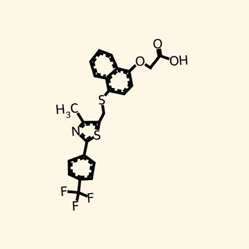 Cc1nc(-c2ccc(C(F)(F)F)cc2)sc1CSc1ccc(OCC(=O)O)c2ccccc12